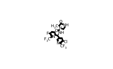 C[C@@H]1C(=O)NCCN1C(=O)N[C@@H](c1cnc(C(F)(F)F)c(Cl)c1)c1ccc(F)c(C(F)(F)F)n1